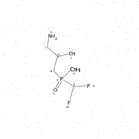 NCC(O)CP(=O)(O)C(F)F